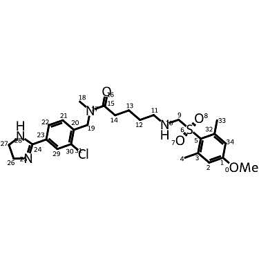 COc1cc(C)c(S(=O)(=O)CNCCCCC(=O)N(C)Cc2ccc(C3=NCCN3)cc2Cl)c(C)c1